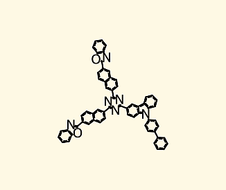 c1ccc(-c2ccc(-n3c4ccccc4c4cc(-c5nc(-c6ccc7cc(-c8nc9ccccc9o8)ccc7c6)nc(-c6ccc7cc(-c8nc9ccccc9o8)ccc7c6)n5)ccc43)cc2)cc1